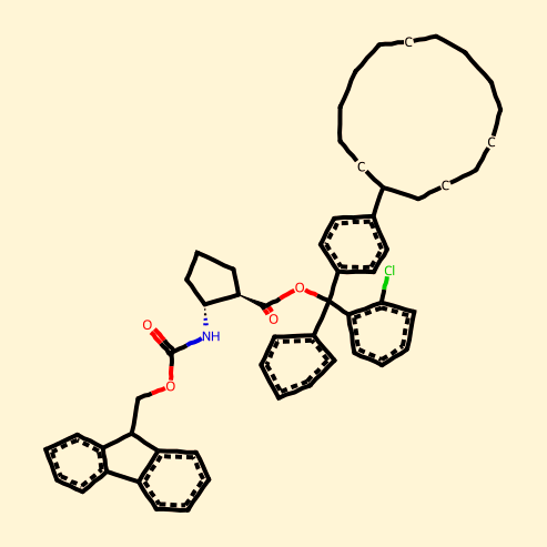 O=C(N[C@@H]1CCC[C@H]1C(=O)OC(c1ccccc1)(c1ccc(C2CCCCCCCCCCCCCC2)cc1)c1ccccc1Cl)OCC1c2ccccc2-c2ccccc21